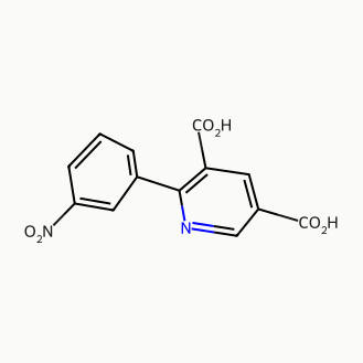 O=C(O)c1cnc(-c2cccc([N+](=O)[O-])c2)c(C(=O)O)c1